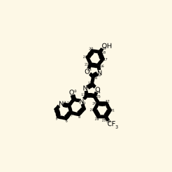 O=c1c2ncccc2ccn1-c1nc(-c2nc3cc(O)ccc3o2)oc1-c1ccc(C(F)(F)F)cc1